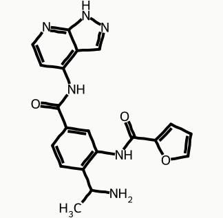 CC(N)c1ccc(C(=O)Nc2ccnc3[nH]ncc23)cc1NC(=O)c1ccco1